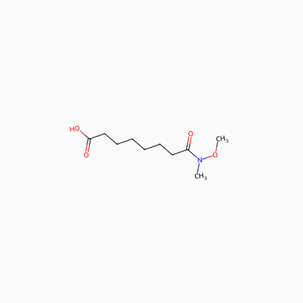 CON(C)C(=O)CCCCCCC(=O)O